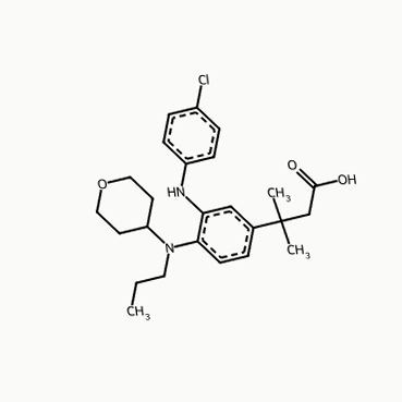 CCCN(c1ccc(C(C)(C)CC(=O)O)cc1Nc1ccc(Cl)cc1)C1CCOCC1